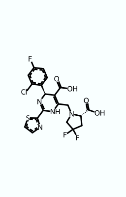 O=C(O)C1=C(CN2CC(F)(F)C[C@H]2C(=O)O)NC(c2nccs2)=N[C@H]1c1ccc(F)cc1Cl